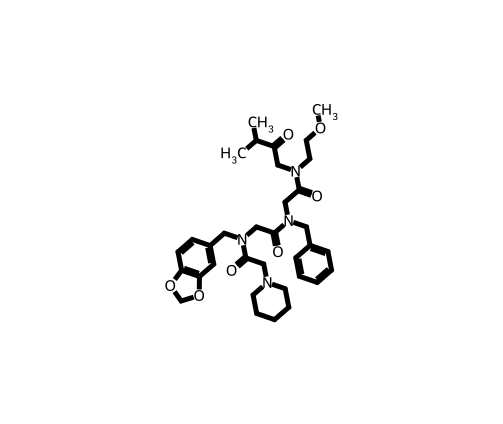 COCCN(CC(=O)C(C)C)C(=O)CN(Cc1ccccc1)C(=O)CN(Cc1ccc2c(c1)OCO2)C(=O)CN1CCCCC1